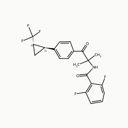 CC(C)(NC(=O)c1c(F)cccc1F)C(=O)c1ccc([C@H]2C[C@@H]2C(F)(F)F)cc1